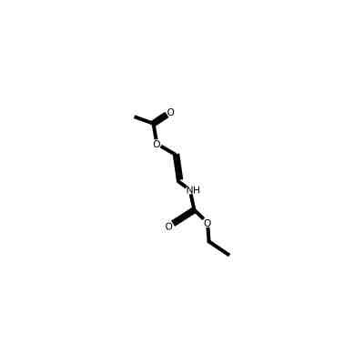 CCOC(=O)NC=COC(C)=O